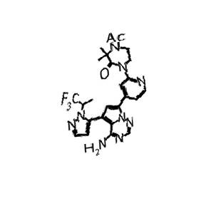 CC(=O)N1CCN(c2cc(-c3cc(-c4ccnn4[C@H](C)C(F)(F)F)c4c(N)ncnn34)ccn2)C(=O)C1(C)C